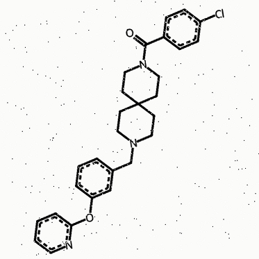 O=C(c1ccc(Cl)cc1)N1CCC2(CCN(Cc3cccc(Oc4ccccn4)c3)CC2)CC1